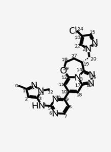 Cc1cc(Nc2nccc(-c3cc4n5c(nnc5c3)[C@@H](Cn3cc(Cl)cn3)CCO4)n2)n(C)n1